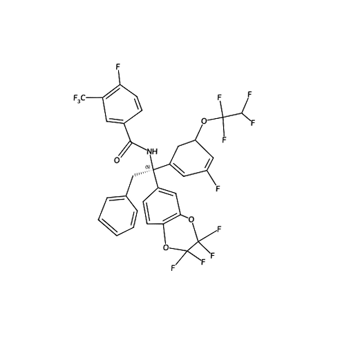 O=C(N[C@@](Cc1ccccc1)(C1=CC(F)=CC(OC(F)(F)C(F)F)C1)c1ccc2c(c1)OC(F)(F)C(F)(F)O2)c1ccc(F)c(C(F)(F)F)c1